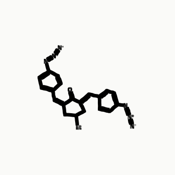 CCC1CC(=Cc2ccc(N=[N+]=[N-])cc2)C(=O)C(=Cc2ccc(N=[N+]=[N-])cc2)C1